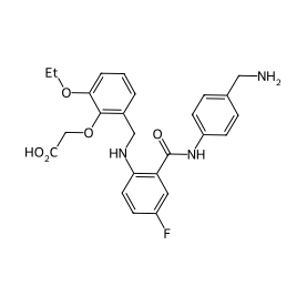 CCOc1cccc(CNc2ccc(F)cc2C(=O)Nc2ccc(CN)cc2)c1OCC(=O)O